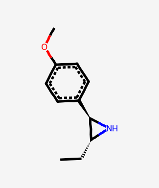 CC[C@H]1N[C@@H]1c1ccc(OC)cc1